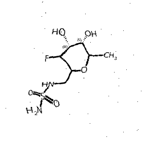 CC1OC(CNS(N)(=O)=O)C(F)[C@H](O)[C@@H]1O